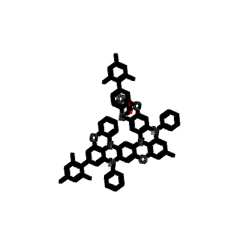 Cc1cc(C)c(-c2cc3c4c(c2)Oc2cc5c(cc2B4c2ccccc2O3)B2c3cc4c(cc3Oc3cc(C)cc(c32)N5c2ccccc2)N(c2ccccc2)c2cc(-c3c(C)cc(C)cc3C)cc3c2B4c2ccccc2O3)c(C)c1